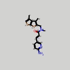 Cc1csc2sc(CN(C)C(=O)/C=C/c3ccc(N)nc3)c(C)c12